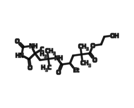 CCC(CC(C)(C)C(=O)OCCO)C(=O)NC(C)(C)CC1(C)NC(=O)NC1=O